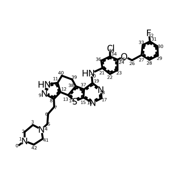 CN1CCN(CCCc2n[nH]c3c2-c2sc4ncnc(Nc5ccc(OCc6cccc(F)c6)c(Cl)c5)c4c2CC3)CC1